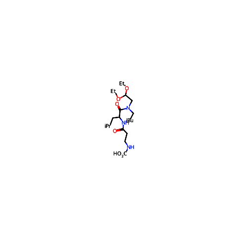 CCOC(CN(CC(C)CC)C(=O)C(CC(C)C)NC(=O)CCNC(=O)O)OCC